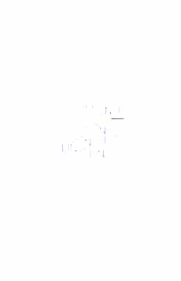 C=c1[nH]c(=O)c(=Cc2nc(C(C(C)C)C3COCCN3)[nH]c2C(C)C)[nH]c1=O